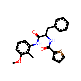 COc1cccc(NC(=O)C(Cc2ccccc2)NC(=O)c2cccs2)c1C